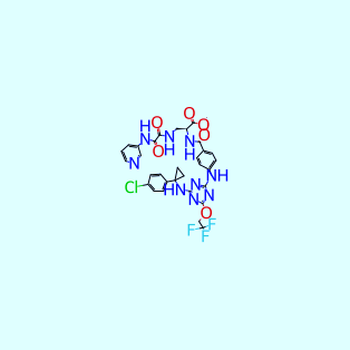 COC(=O)[C@H](CNC(=O)C(=O)Nc1cccnc1)NC(=O)c1ccc(Nc2nc(NC3(c4ccc(Cl)cc4)CC3)nc(OCC(F)(F)F)n2)cc1